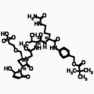 CC(C)[C@H](NC(=O)CN1C(=O)[C@@H](N2C(=O)C=CC2O)C[C@H]1COCCS(=O)(=O)O)C(=O)N[C@@H](CCCNC(N)=O)C(=O)Nc1ccc(COC(=O)C(C)(C)C)cc1